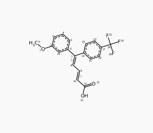 COc1cccc(/C(=C/C=C/C(=O)O)c2ccc(C(F)(F)F)cc2)c1